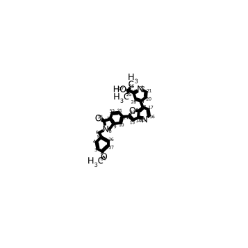 COc1ccc(CN2Cc3cc(-c4cc5nccc(-c6ccnc(C(C)(C)O)c6)c5o4)ccc3C2=O)cc1